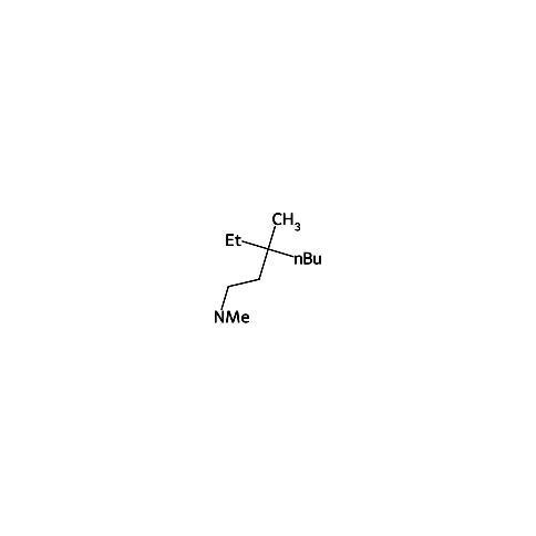 CCCCC(C)(CC)CCNC